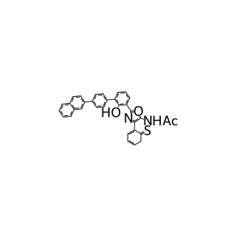 CC(=O)Nc1oc(-c2cccc(-c3ccc(-c4ccc5ccccc5c4)cc3)c2O)nc1C1=CC=CCC1=S